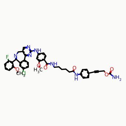 COc1cc(Nc2ncc3c(n2)-c2ccc(Cl)cc2C(c2c(F)cccc2OC)=NC3)ccc1C(=O)NCCCCCC(=O)Nc1ccc(C#CCOC(N)=O)cc1